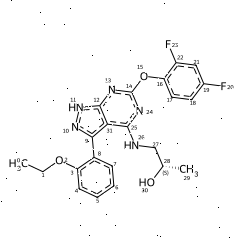 CCOc1ccccc1-c1n[nH]c2nc(Oc3ccc(F)cc3F)nc(NC[C@H](C)O)c12